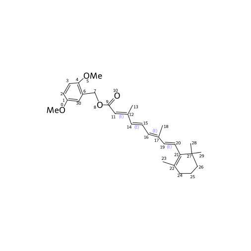 COc1ccc(OC)c(COC(=O)/C=C(C)/C=C/C=C(C)/C=C/C2=C(C)CCCC2(C)C)c1